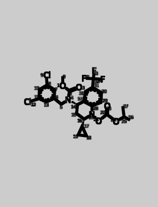 COC(=O)N(Cc1cc(Cl)cc(Cl)c1)[C@H]1C[C@@H](C2CC2)N(OC(=O)OC(C)C)c2ccc(C(F)(F)F)cc21